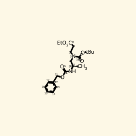 CCOC(=O)CCN(C[C@@H](C)NC(=O)OCc1ccccc1)C(=O)OC(C)(C)C